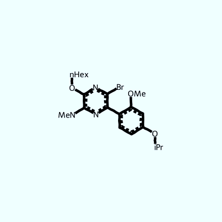 CCCCCCOc1nc(Br)c(-c2ccc(OC(C)C)cc2OC)nc1NC